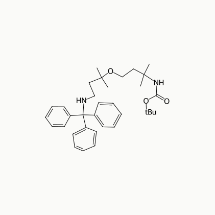 CC(C)(CCOC(C)(C)CCNC(c1ccccc1)(c1ccccc1)c1ccccc1)NC(=O)OC(C)(C)C